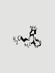 C=CCOc1cc(N)ccc1-n1ncnc1C